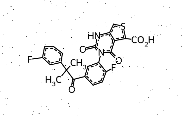 CC(C)(C(=O)c1ccc(F)c(-n2c(=O)[nH]c3csc(C(=O)O)c3c2=O)c1)c1cccc(F)c1